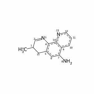 CC1C=Nc2c(cc(N)c3cccnc23)C1